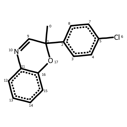 CC1(c2ccc(Cl)cc2)C=Nc2ccccc2O1